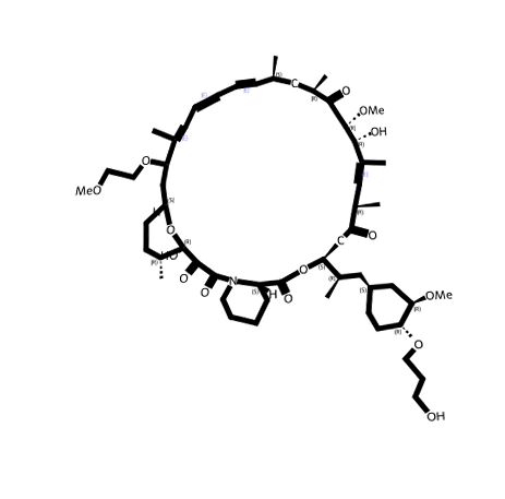 COCCOC1C[C@@H]2CC[C@@H](C)[C@@](O)(O2)C(=O)C(=O)N2CCCC[C@H]2C(=O)O[C@H]([C@H](C)C[C@@H]2CC[C@@H](OCCCO)[C@H](OC)C2)CC(=O)[C@H](C)/C=C(\C)[C@@H](O)[C@@H](OC)C(=O)[C@H](C)C[C@H](C)/C=C/C=C/C=C/1C